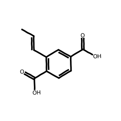 CC=Cc1cc(C(=O)O)ccc1C(=O)O